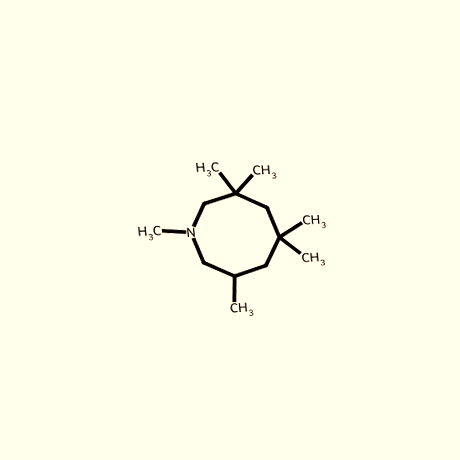 CC1CN(C)CC(C)(C)CC(C)(C)C1